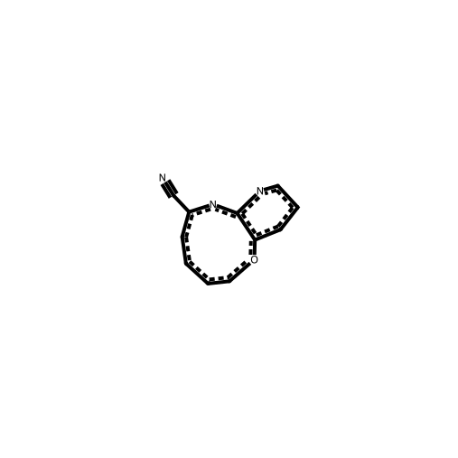 N#Cc1ccccoc2cccnc2n1